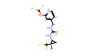 C[C@]1(C(F)(F)F)C[C@@H]1NC(=O)NCc1ccnc(OC(F)F)c1